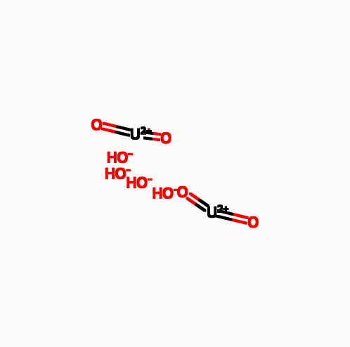 [OH-].[OH-].[OH-].[OH-].[O]=[U+2]=[O].[O]=[U+2]=[O]